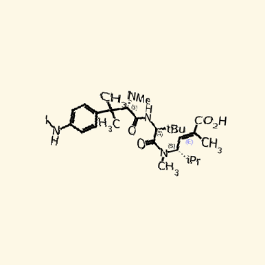 CN[C@H](C(=O)N[C@H](C(=O)N(C)[C@H](/C=C(\C)C(=O)O)C(C)C)C(C)(C)C)C(C)(C)c1ccc(NI)cc1